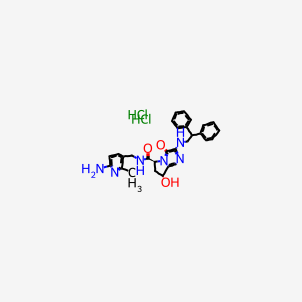 Cc1nc(N)ccc1CNC(=O)[C@@H]1C[C@@H](O)c2cnc(NCC(c3ccccc3)c3ccccc3)c(=O)n21.Cl.Cl